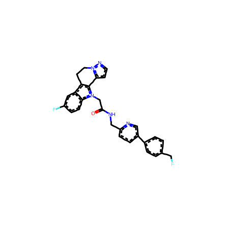 O=C(Cn1c2c(c3cc(F)ccc31)CCn1nccc1-2)NCc1ccc(-c2ccc(CF)cc2)cn1